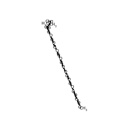 COCCOCCOCCOCCOCCOCCOCCOCCOCCOCCCOCCOCCOCCOCCOCCOCCOCCOCCOCCOCCS(=O)(=O)CCC(C)(C)N(Cl)Cl